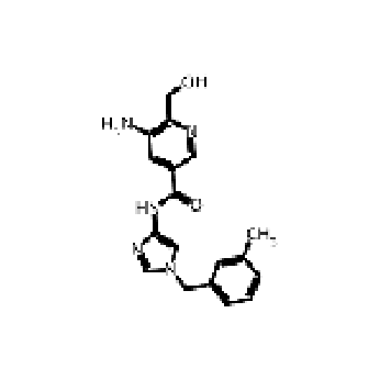 Cc1cccc(Cn2cnc(NC(=O)c3cnc(CO)c(N)c3)c2)c1